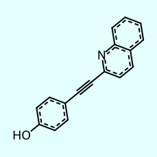 Oc1ccc(C#Cc2ccc3ccccc3n2)cc1